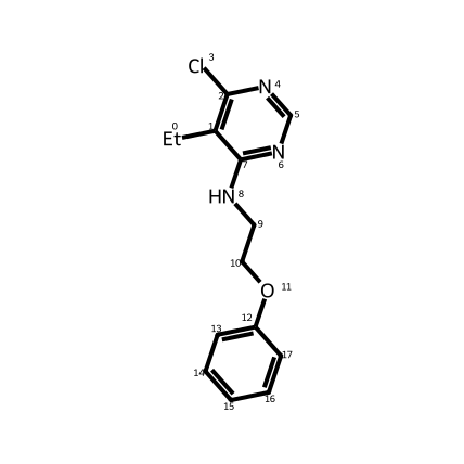 CCc1c(Cl)ncnc1NCCOc1ccccc1